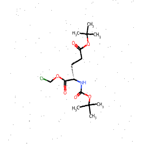 CC(C)(C)OC(=O)CC[C@H](NC(=O)OC(C)(C)C)C(=O)OCCl